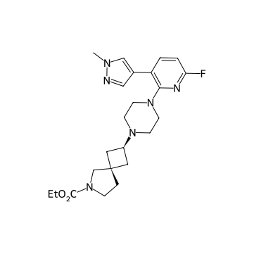 CCOC(=O)N1CC[C@]2(C1)C[C@H](N1CCN(c3nc(F)ccc3-c3cnn(C)c3)CC1)C2